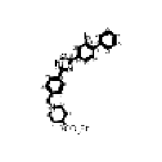 CCOC(=O)C1CCN(Cc2ccc(-c3noc(-c4ccc(-c5ccccc5)c(F)c4)n3)cc2)CC1